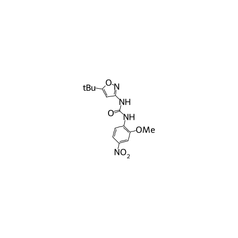 COc1cc([N+](=O)[O-])ccc1NC(=O)Nc1cc(C(C)(C)C)on1